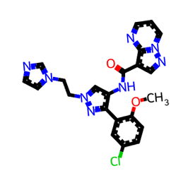 COc1ccc(Cl)cc1-c1nn(CCn2ccnc2)cc1NC(=O)c1cnn2cccnc12